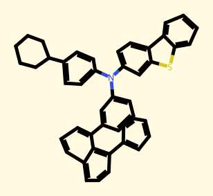 c1ccc(-c2cccc3cccc(-c4cccc(N(c5ccc(C6CCCCC6)cc5)c5ccc6c(c5)sc5ccccc56)c4)c23)cc1